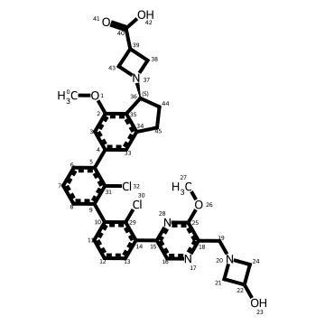 COc1cc(-c2cccc(-c3cccc(-c4cnc(CN5CC(O)C5)c(OC)n4)c3Cl)c2Cl)cc2c1[C@@H](N1CC(C(=O)O)C1)CC2